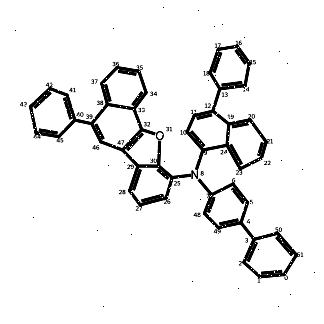 c1ccc(-c2ccc(N(c3ccc(-c4ccccc4)c4ccccc34)c3cccc4c3oc3c5ccccc5c(-c5ccccc5)cc43)cc2)cc1